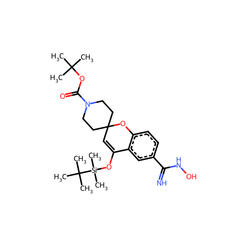 CC(C)(C)OC(=O)N1CCC2(C=C(O[Si](C)(C)C(C)(C)C)c3cc(C(=N)NO)ccc3O2)CC1